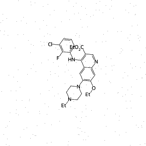 CCOC(=O)c1cnc2cc(OCC)c(N3CCN(CC)CC3)cc2c1Nc1cccc(Cl)c1F